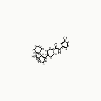 O=C(Nc1cccc(Cl)c1)N1CC=C(c2ncnc3[nH]c4c(c23)COCC4)CC1